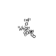 CCN(CC)Cc1ccc(CC(NC(=O)CC(NS(=O)(=O)c2ccc3ccccc3c2)c2ccc3c(c2)OCO3)C(=O)N(C)C(C)C)cc1